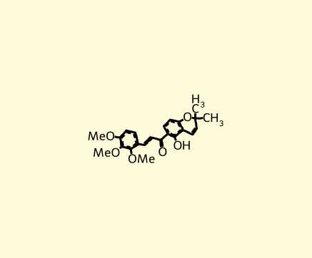 COc1ccc(/C=C/C(=O)c2ccc3c(c2O)C=CC(C)(C)O3)c(OC)c1OC